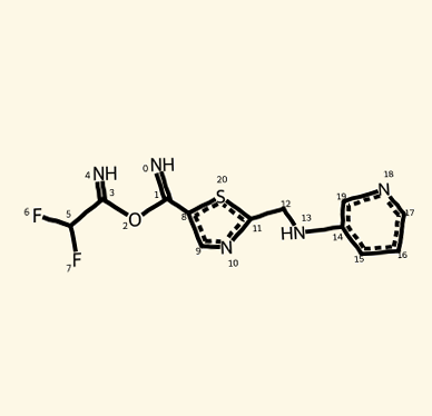 N=C(OC(=N)C(F)F)c1cnc(CNc2cccnc2)s1